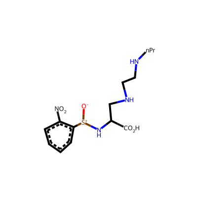 CCCNCCNCC(N[S+]([O-])c1ccccc1[N+](=O)[O-])C(=O)O